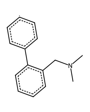 CN(C)Cc1ccccc1-c1cc[c]cc1